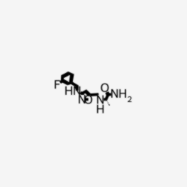 C[C@H](NCc1cc(NCc2cccc(F)c2)no1)C(N)=O